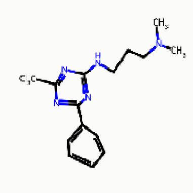 CN(C)CCCNc1nc(-c2ccccc2)nc(C(Cl)(Cl)Cl)n1